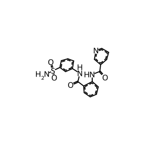 NS(=O)(=O)c1cccc(NC(=O)c2ccccc2NC(=O)c2cccnc2)c1